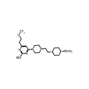 CC(=O)N[C@H]1CC[C@@H](CCN2CCN(c3cc(CCOC(F)(F)F)nc(C(C)(C)C)n3)CC2)CC1